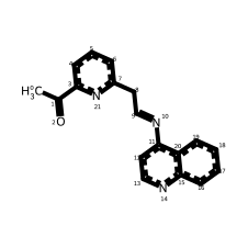 CC(=O)c1cccc(CC=Nc2ccnc3ccccc23)n1